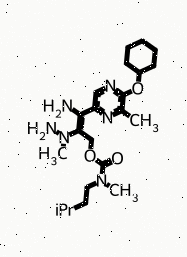 Cc1nc(/C(N)=C(\COC(=O)N(C)CCC(C)C)N(C)N)cnc1OC1CCCCC1